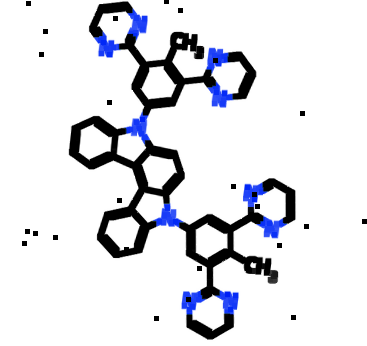 Cc1c(-c2ncccn2)cc(-n2c3ccccc3c3c4c5ccccc5n(-c5cc(-c6ncccn6)c(C)c(-c6ncccn6)c5)c4ccc32)cc1-c1ncccn1